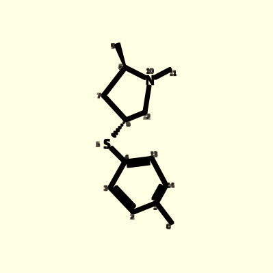 Cc1ccc(S[C@@H]2C[C@@H](C)N(C)C2)cc1